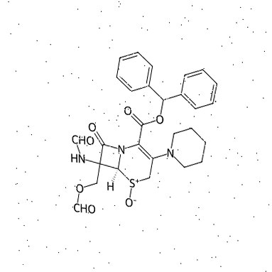 O=CNC1(COC=O)C(=O)N2C(C(=O)OC(c3ccccc3)c3ccccc3)=C(N3CCCCC3)C[S+]([O-])[C@H]21